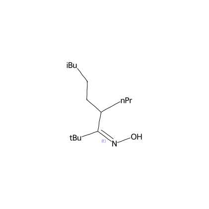 CCCC(CCC(C)CC)/C(=N\O)C(C)(C)C